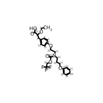 CCOC(Cc1ccc(OCCN(CCCOc2ccccc2)C(=O)OCC(F)(F)F)cc1)C(=O)O